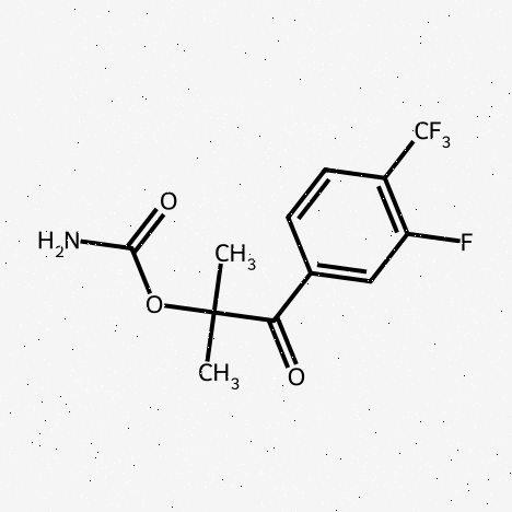 CC(C)(OC(N)=O)C(=O)c1ccc(C(F)(F)F)c(F)c1